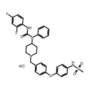 CS(=O)(=O)Nc1ccc(Oc2ccc(CN3CCC(N(C(=O)Nc4ccc(F)cc4F)c4ccccc4)CC3)cc2)cc1.Cl